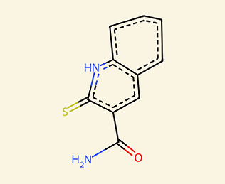 NC(=O)c1cc2ccccc2[nH]c1=S